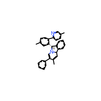 CC1=CC2c3ccccc3[C@@H](c3cc(C)ccc3-c3ccc(C)cn3)N2C=C1c1ccccc1